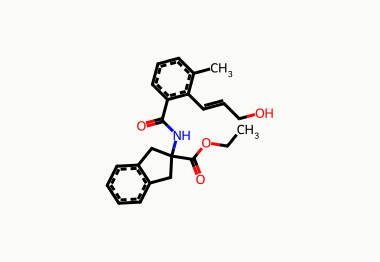 CCOC(=O)C1(NC(=O)c2cccc(C)c2/C=C/CO)Cc2ccccc2C1